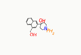 OCc1cc(C2(O)CCN(P)CC2)cc2ccccc12